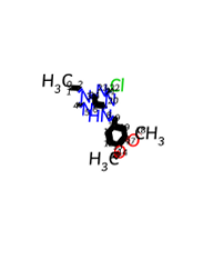 CCCn1cnc2c(NCc3ccc(OC)c(OC)c3)nc(Cl)nc21